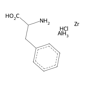 Cl.NC(Cc1ccccc1)C(=O)O.[AlH3].[Zr]